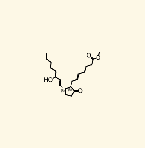 CCCCCC(O)C=C[C@H]1CCC(=O)[C@@H]1CC=CCCCC(=O)OC